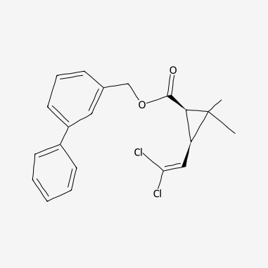 CC1(C)[C@H](C(=O)OCc2cccc(-c3ccccc3)c2)[C@@H]1C=C(Cl)Cl